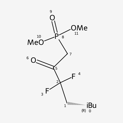 CC[C@@H](C)CC(F)(F)C(=O)CP(=O)(OC)OC